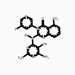 CCN(c1nc(N)nc(N)c1C#N)c1nc2cccc(C)c2c(=O)n1-c1cncc(F)c1